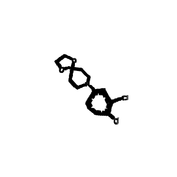 Clc1ccc(N2CCC3(CC2)OCCO3)cc1Cl